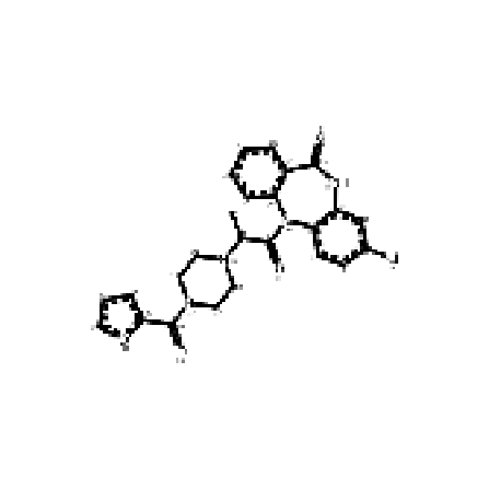 CC(C(=O)N1c2ccc(Cl)cc2NC(=O)c2ccccc21)N1CCN(C(=O)c2ccco2)CC1